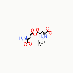 N[C@@H](CCC(=O)OC(=O)CC[C@H](N)C(=O)[O-])C(=O)[O-].[K+].[Na+]